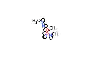 CCOC(=O)C(Cc1cccc(-c2cccc(C)n2)n1)Cc1cccc(-c2cccc(C)n2)n1